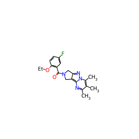 CCOc1ccc(F)cc1C(=O)N1Cc2nn3c(C)c(C)c(C)nc3c2C1